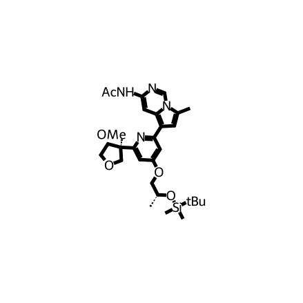 CO[C@@]1(c2cc(OC[C@@H](C)O[Si](C)(C)C(C)(C)C)cc(-c3cc(C)n4cnc(NC(C)=O)cc34)n2)CCOC1